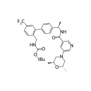 C[C@H]1CN(c2cncc(C(=O)N[C@H](C)c3ccc(-c4cc(C(F)(F)F)ccc4CNC(=O)OC(C)(C)C)cc3)c2)C[C@H](C)O1